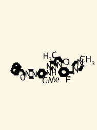 COc1cc(N2CCN(C(=O)CC34CC5CC(CC(C5)C3)C4)CC2)ccc1Nc1ncc2c(C)cc(=O)n(-c3ccc(F)c(CN4CCN(C)CC4)c3)c2n1